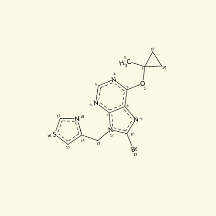 CC1(Oc2ncnc3c2nc(Br)n3Cc2cscn2)CC1